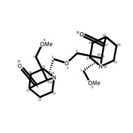 COC[C@]1(COC[C@@]2(COC)C(=O)C3CCN2CC3)C(=O)C2CCN1CC2